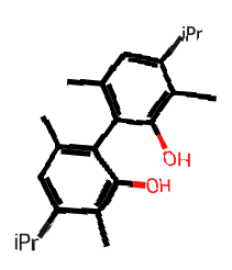 Cc1cc(C(C)C)c(C)c(O)c1-c1c(C)cc(C(C)C)c(C)c1O